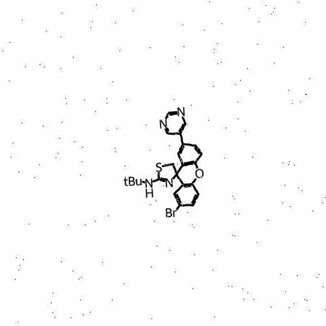 CC(C)(C)NC1=NC2(CS1)c1cc(Br)ccc1Oc1ccc(-c3cncnc3)cc12